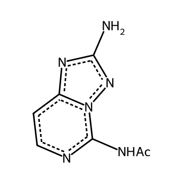 CC(=O)Nc1nccc2nc(N)nn12